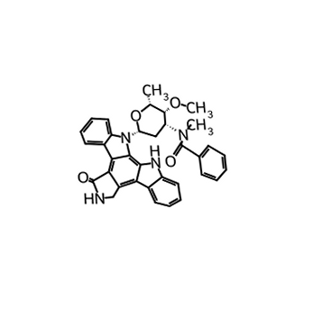 CO[C@@H]1[C@H](N(C)C(=O)c2ccccc2)C[C@H](n2c3ccccc3c3c4c(c5c6ccccc6[nH]c5c32)CNC4=O)O[C@@H]1C